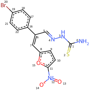 NC(=S)NN=CC(=Cc1ccc([N+](=O)[O-])o1)c1ccc(Br)cc1